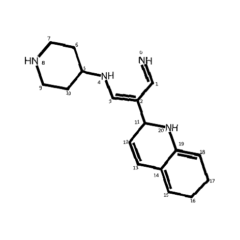 N=C/C(=C\NC1CCNCC1)C1C=CC2=CCCC=C2N1